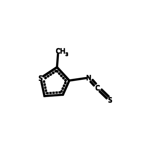 Cc1sccc1N=C=S